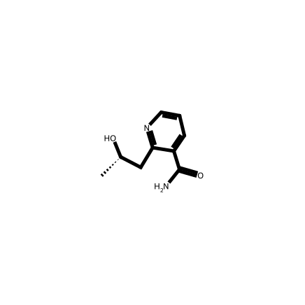 C[C@H](O)Cc1ncccc1C(N)=O